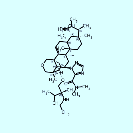 CCN[C@@](C)(CO[C@H]1[C@H](n2ncnc2C(=O)N(C)C)C[C@@]23COC[C@]1(C)[C@@H]2CC[C@H]1C3=CC[C@@]2(C)[C@H](C(=O)O)[C@@](C)([C@H](C)C(C)C)CC[C@]12C)C(C)C